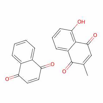 CC1=CC(=O)c2c(O)cccc2C1=O.O=C1C=CC(=O)c2ccccc21